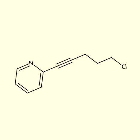 ClCCCC#Cc1ccccn1